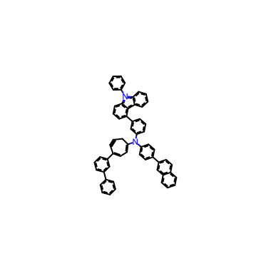 C1#CC(c2cccc(-c3ccccc3)c2)=CC=C(N(c2ccc(-c3ccc4ccccc4c3)cc2)c2cccc(-c3cccc4c3c3ccccc3n4-c3ccccc3)c2)C1